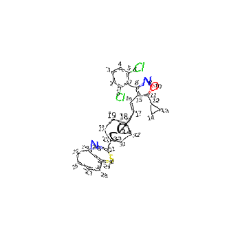 Clc1cccc(Cl)c1-c1noc(C2CC2)c1C=CC12CCC(c3nc4ccccc4s3)(CC1)CC2